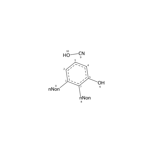 CCCCCCCCCc1cccc(O)c1CCCCCCCCC.N#CO